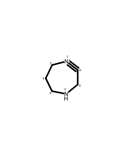 C1#[N+]CCCNC1